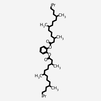 CC(C)CCCC(C)CCCC(C)CCCC(C)CC(=O)Oc1ccccc1OC(=O)CC(C)CCCC(C)CCCC(C)CCCC(C)C